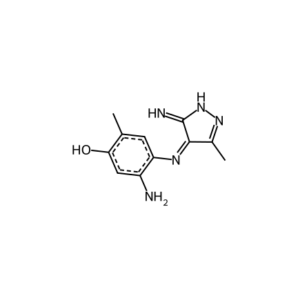 CC1=NNC(=N)C1=Nc1cc(C)c(O)cc1N